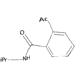 CC(=O)c1ccccc1C(=O)NC(C)C